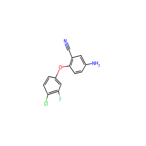 N#Cc1cc(N)ccc1Oc1ccc(Cl)c(F)c1